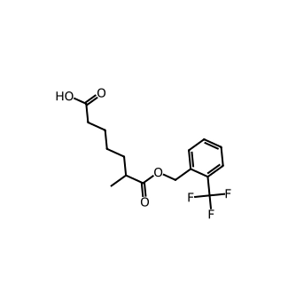 CC(CCCCC(=O)O)C(=O)OCc1ccccc1C(F)(F)F